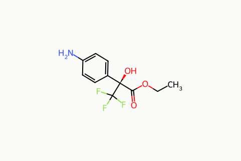 CCOC(=O)[C@@](O)(c1ccc(N)cc1)C(F)(F)F